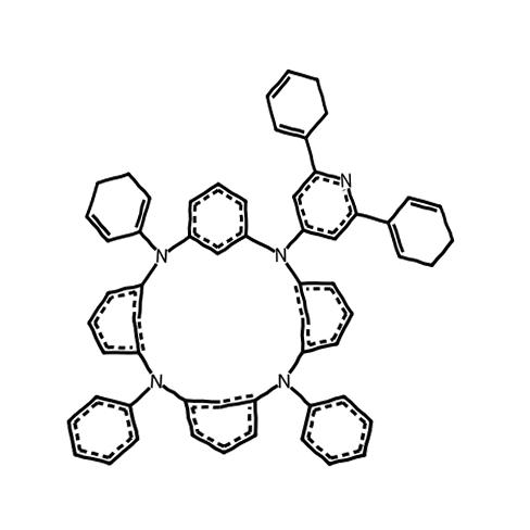 C1=CCCC(c2cc(N3c4cccc(c4)N(C4=CCCC=C4)c4cccc(c4)N(c4ccccc4)c4cccc(c4)N(c4ccccc4)c4cccc3c4)cc(C3=CCCC=C3)n2)=C1